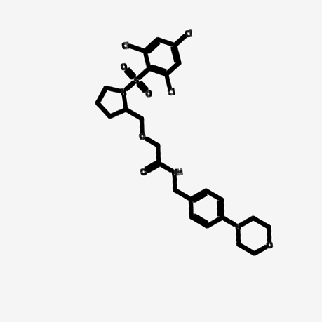 O=C(COCC1CCCN1S(=O)(=O)c1c(Cl)cc(Cl)cc1Cl)NCc1ccc(N2CCOCC2)cc1